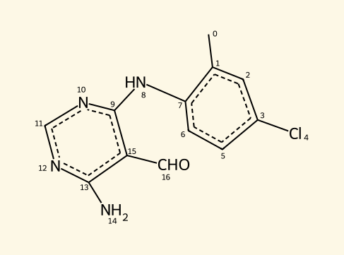 Cc1cc(Cl)ccc1Nc1ncnc(N)c1C=O